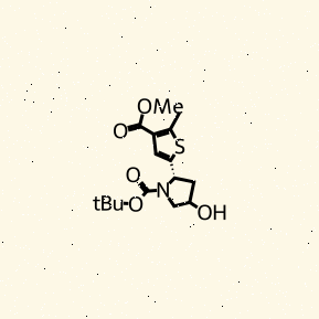 COC(=O)c1cc([C@@H]2CC(O)CN2C(=O)OC(C)(C)C)sc1C